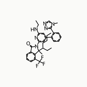 CCCCC(CC)C1(C)c2c(cccc2C(F)(F)F)C(=O)N1c1cc(-c2ccccc2-c2nncn2C)cc(NCC)n1